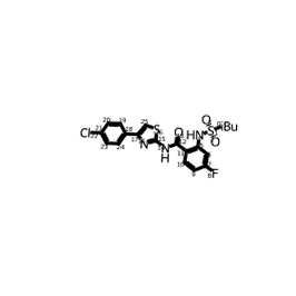 CCC(C)S(=O)(=O)Nc1cc(F)ccc1C(=O)Nc1nc(-c2ccc(Cl)cc2)cs1